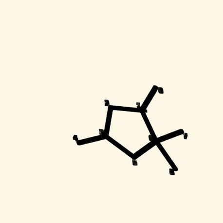 C[C]1CC(C)CC1(C)C